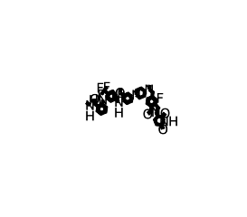 CNC(=O)c1ccccc1Nc1cc(Nc2ccc(N3CCC(N(C)Cc4ccc5c(c4F)CN(C4CCC(=O)NC4=O)C5=O)CC3)cc2OC)ncc1C(F)(F)F